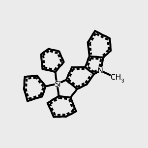 Cn1c2ccccc2c2cc3c(cc21)-c1ccccc1[Si]3(c1ccccc1)c1ccccc1